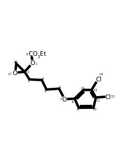 CCOC(=O)OC1(CCCCOc2ccc(Cl)c(Cl)c2)CO1